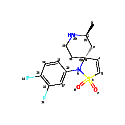 C[C@H]1C[C@@]2(C=CS(=O)(=O)N2c2ccc(F)c(F)c2)CCN1